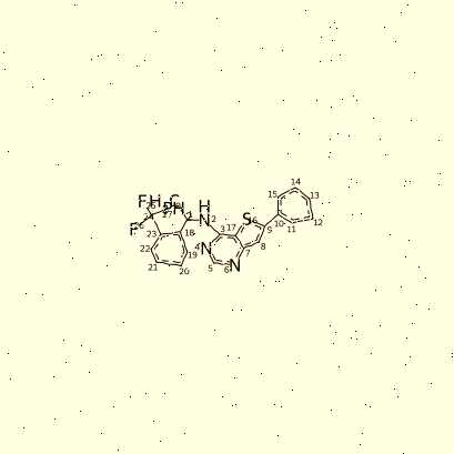 CC(Nc1ncnc2cc(-c3ccccc3)sc12)c1ccccc1C(F)(F)P